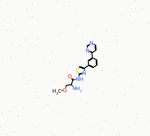 COCC(N)C(=O)Nc1nc(-c2cccc(-c3ccncn3)c2)cs1